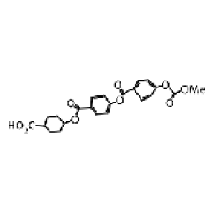 COC(=O)Oc1ccc(C(=O)Oc2ccc(C(=O)OC3CCC(C(=O)O)CC3)cc2)cc1